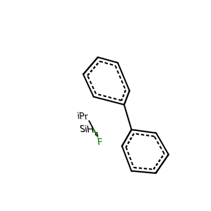 CC(C)F.[SiH4].c1ccc(-c2ccccc2)cc1